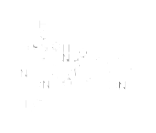 CCN(C#N)C(=O)C(CS(C)(=O)=O)NS(=O)(=O)c1ccc2ncccc2c1